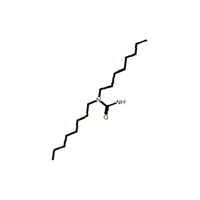 CCCCCCCCN(CCCCCCCC)C([NH])=O